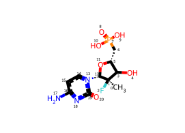 C[C@@]1(F)C(O)[C@@H](CP(=O)(O)O)O[C@H]1n1ccc(N)nc1=O